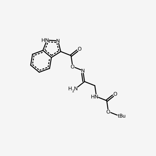 CC(C)(C)OC(=O)NC/C(N)=N/OC(=O)c1n[nH]c2ccccc12